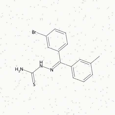 Cc1cccc(/C(=N/NC(N)=S)c2cccc(Br)c2)c1